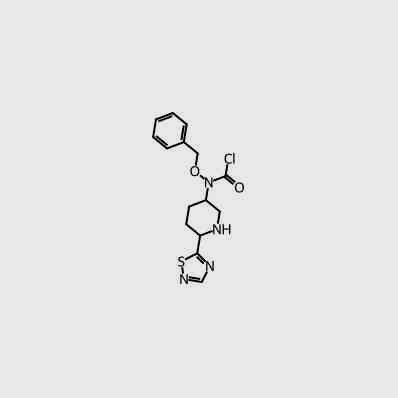 O=C(Cl)N(OCc1ccccc1)C1CCC(c2ncns2)NC1